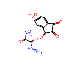 NNC(=O)C(N)=O.O.O=c1c(=O)c2ccccc2c1=O